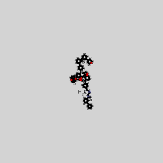 C=C(/C=C\C=C1/CSc2c1cccc2-c1ccccc1)c1ccc(N2c3ccccc3C3(c4ccccc4N(c4ccc(-c5cccc6c5sc5c(-c7ccccc7)cccc56)cc4)c4ccc(-c5ccccc5)cc43)c3cc(-c4ccccc4)ccc32)cc1